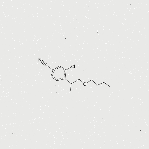 CCCCOCC(C)c1ccc(C#N)cc1Cl